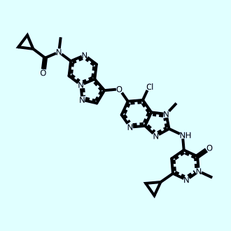 CN(C(=O)C1CC1)c1cn2ncc(Oc3cnc4nc(Nc5cc(C6CC6)nn(C)c5=O)n(C)c4c3Cl)c2cn1